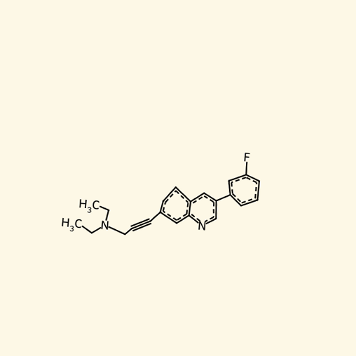 CCN(CC)CC#Cc1ccc2cc(-c3cccc(F)c3)cnc2c1